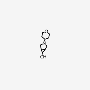 CC1C2CN(C3CCOCC3)CC12